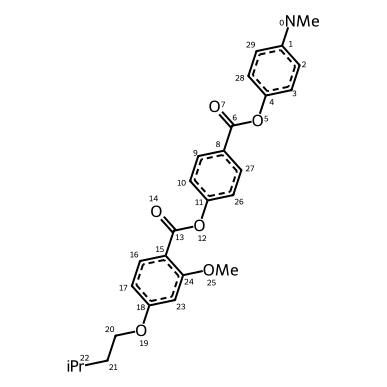 CNc1ccc(OC(=O)c2ccc(OC(=O)c3ccc(OCCC(C)C)cc3OC)cc2)cc1